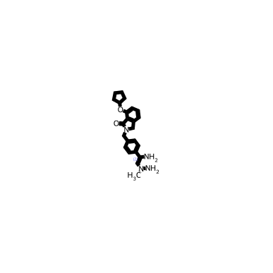 CN(N)/C=C(\N)c1ccc(CN2Cc3cccc(OC4CCCC4)c3C2=O)cc1